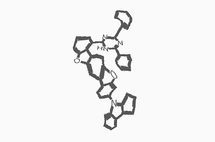 c1ccc(C2=NC(c3cccc4oc5cc6c(cc5c34)oc3cc(-n4c5ccccc5c5ccccc54)ccc36)NC(c3ccccc3)=N2)cc1